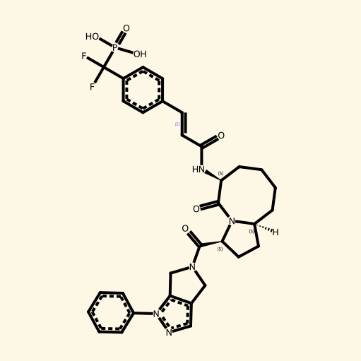 O=C(/C=C/c1ccc(C(F)(F)P(=O)(O)O)cc1)N[C@H]1CCCC[C@H]2CC[C@@H](C(=O)N3Cc4cnn(-c5ccccc5)c4C3)N2C1=O